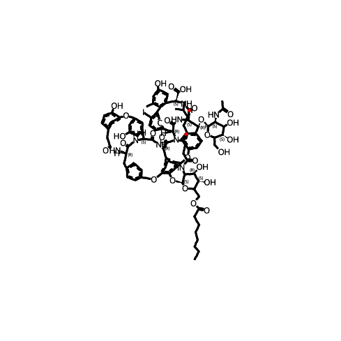 CCCCCCCC(=O)OCC1O[C@@H](Oc2c3cc4cc2Oc2ccc5cc2N(C(=O)[C@@H]4NC(=O)[C@H]2NC(=O)[C@@H](Cc4ccc(cc4)O3)NC(=O)Cc3ccc(O)c(c3)Oc3cc(O)cc2c3)[C@H]2C(=O)N[C@H](C(=O)N[C@H](C(=O)O)c3cc(O)cc(C)c3-c3cc2ccc3I)[C@@H]5O[C@@H]2OC(CO)[C@@H](O)C(O)[C@@H]2NC(C)=O)C(NC(=O)CCCCCCC(C)C)[C@@H](O)[C@@H]1O